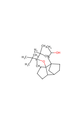 CC(O)CC12CCC(C1)C1CCCC12O[Si](C)(C(C)(C)C)C(C)(C)C